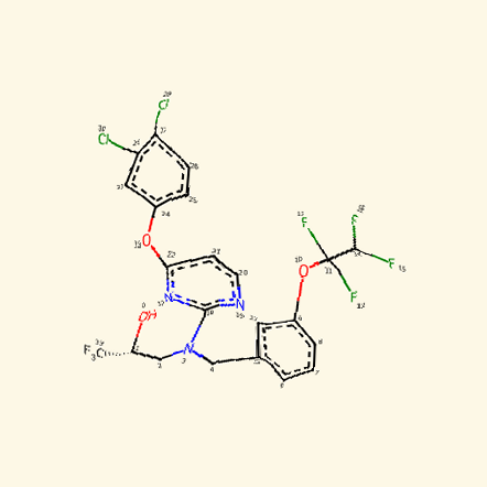 O[C@H](CN(Cc1cccc(OC(F)(F)C(F)F)c1)c1nccc(Oc2ccc(Cl)c(Cl)c2)n1)C(F)(F)F